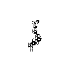 Cc1nc2ccc(Oc3ccc4ncc(-c5cnn(C6CN(C(=O)N7CCC7)C6)c5)nc4c3Cl)cc2[nH]1